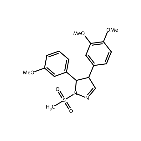 COc1cccc(C2C(c3ccc(OC)c(OC)c3)C=NN2S(C)(=O)=O)c1